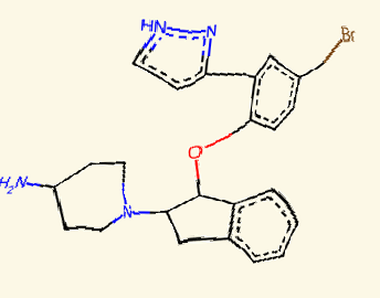 NC1CCN(C2Cc3ccccc3C2Oc2ccc(Br)cc2-c2cc[nH]n2)CC1